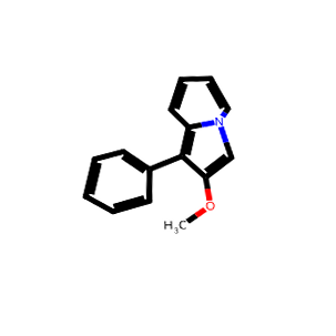 COc1cn2ccccc2c1-c1ccccc1